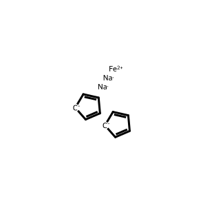 [Fe+2].[Na].[Na].c1cc[cH-]c1.c1cc[cH-]c1